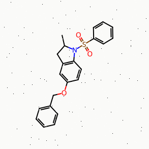 CC1Cc2cc(OCc3ccccc3)ccc2N1S(=O)(=O)c1ccccc1